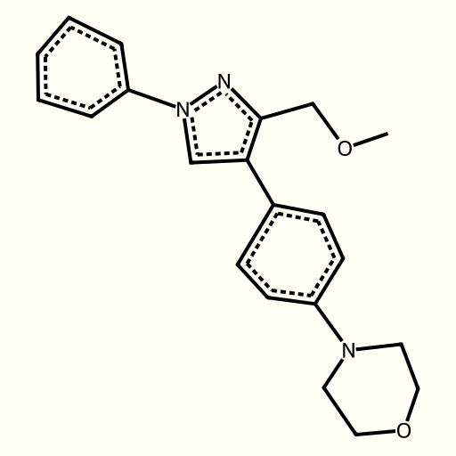 COCc1nn(-c2ccccc2)cc1-c1ccc(N2CCOCC2)cc1